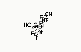 N#Cc1cc(F)c(N2CC(F)(CN3CCC([C@@H]([C@H]4CCC[C@@H]4NC(=O)O)[C@@H](c4cc(F)cc(F)c4)N4CCC4)CC3)C2)c(F)c1